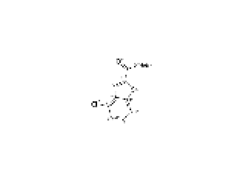 COC(=O)c1cc2c(Cl)ncnc2s1